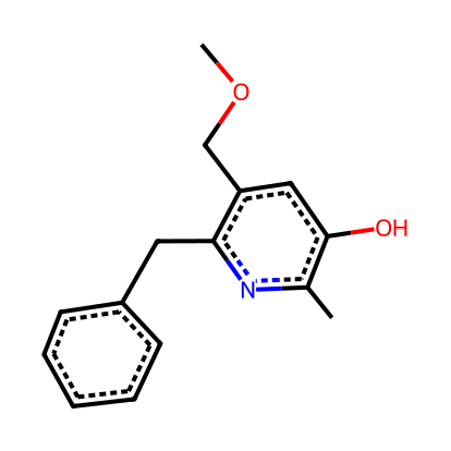 COCc1cc(O)c(C)nc1Cc1ccccc1